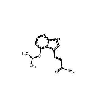 CC(C)Oc1ccnc2[nH]cc(C=CC(N)=O)c12